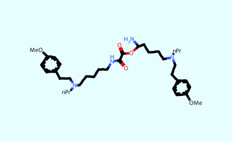 CCCN(CCCCCNC(=O)C(=O)OC(N)CCCCN(CCC)CCc1ccc(OC)cc1)CCc1ccc(OC)cc1